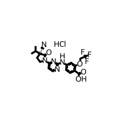 CC(C)[C@]1(C#N)CCN(c2ccnc(Nc3ccc(C(=O)O)c(OCC(F)(F)F)c3)n2)C1=O.Cl